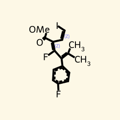 COC(=O)C(/C=C\I)=C(\F)C(=C(C)C)c1ccc(F)cc1